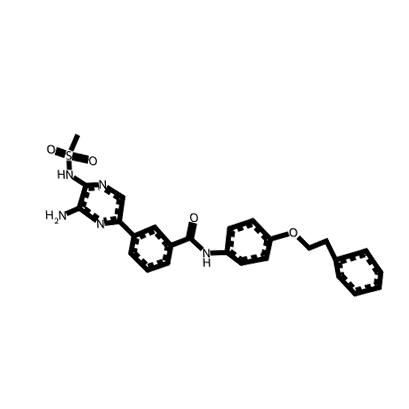 CS(=O)(=O)Nc1ncc(-c2cccc(C(=O)Nc3ccc(OCCc4ccccc4)cc3)c2)nc1N